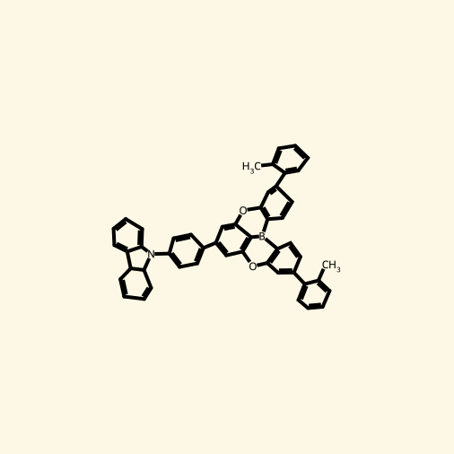 Cc1ccccc1-c1ccc2c(c1)Oc1cc(-c3ccc(N4c5ccccc5C5C=CC=CC54)cc3)cc3c1B2c1ccc(-c2ccccc2C)cc1O3